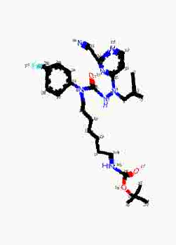 CC(C)CN(NC(=O)N(CCCCCCNC(=O)OC(C)(C)C)c1ccc(F)cc1)c1ccnc(C#N)n1